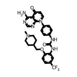 CN1CCC(COc2ccc(C(F)(F)F)cc2NC(=O)Nc2ccc(-n3ccc(=O)c4c(N)ncnc43)cc2)CC1